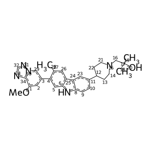 COc1cc(-c2cc3[nH]c4ccc(C5CCN(CC(C)(C)O)CC5)cc4c3cc2C)cn2ncnc12